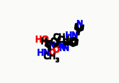 CNC(=O)C1CC(O)CN1C(=O)[C@@H](n1cc(-c2cccc(NCc3ccncc3)c2)nn1)C(C)(C)C